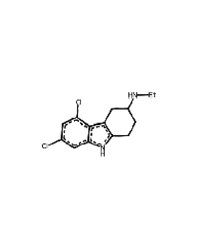 CCNC1CCc2[nH]c3cc(Cl)cc(Cl)c3c2C1